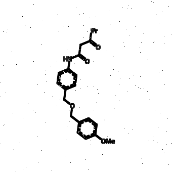 COc1ccc(COCc2ccc(NC(=O)CC(=O)C(C)C)cc2)cc1